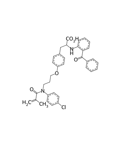 C=C(C)C(=O)N(CCCOc1ccc(CC(Nc2ccccc2C(=O)c2ccccc2)C(=O)O)cc1)c1ccc(Cl)cc1